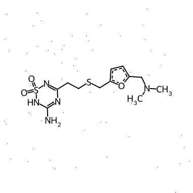 CN(C)Cc1ccc(CSCCC2=NS(=O)(=O)NC(N)=N2)o1